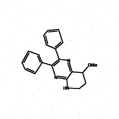 COC1CCNc2nc(-c3ccccc3)c(-c3ccccc3)nc21